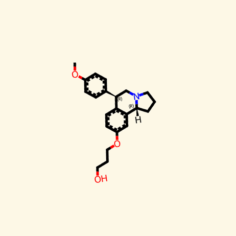 COc1ccc([C@H]2CN3CCC[C@@H]3c3cc(OCCCO)ccc32)cc1